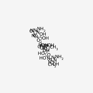 CC(CC[C@H]1O[C@@H](n2c[n+](C)c3c(O)nc(N)nc32)C(O)C1O)P(=O)(O)OP(=O)(O)OP(=O)(O)OC[C@H]1O[C@@H](n2cnc3c(=O)[nH]c(N)nc32)C(O)[C@H]1O